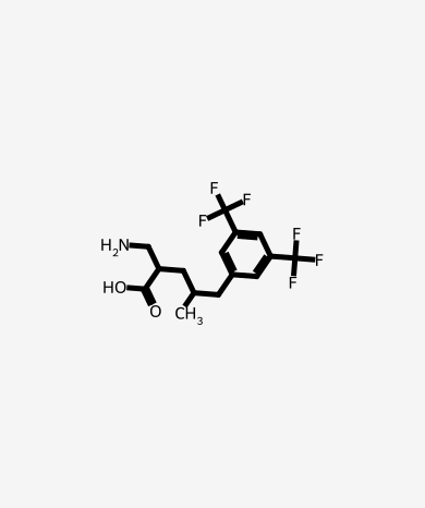 CC(Cc1cc(C(F)(F)F)cc(C(F)(F)F)c1)CC(CN)C(=O)O